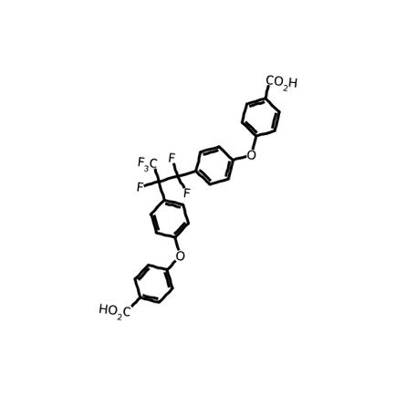 O=C(O)c1ccc(Oc2ccc(C(F)(F)C(F)(c3ccc(Oc4ccc(C(=O)O)cc4)cc3)C(F)(F)F)cc2)cc1